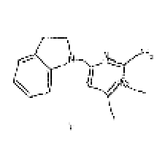 Cc1cc(N2CCc3ccccc32)nc(N)[n+]1C.[I-]